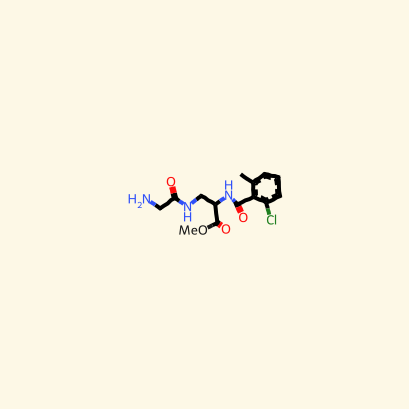 COC(=O)C(CNC(=O)CN)NC(=O)c1c(C)cccc1Cl